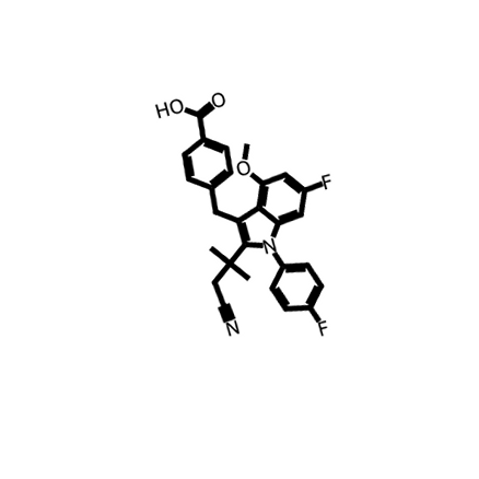 COc1cc(F)cc2c1c(Cc1ccc(C(=O)O)cc1)c(C(C)(C)CC#N)n2-c1ccc(F)cc1